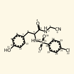 N#CCNC(=O)C(Cc1ccc(O)cc1)NS(=O)(=O)c1ccc(Cl)cc1